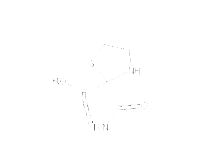 NC(=O)[C@@]1(C(=O)O)NCCS1